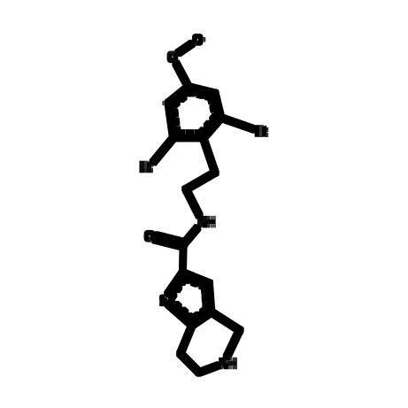 CCc1[c]c(O[O])cc(CC)c1CCNC(=O)c1cc2c(s1)CCNC2